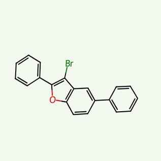 Brc1c(-c2ccccc2)oc2ccc(-c3ccccc3)cc12